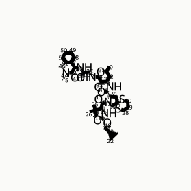 CCCC(NC(=O)[C@@H]1CC2(CN1C(=O)C(NC(=O)OCC1CC1)C(C)(C)C)SCCCS2)C(=O)C(=O)NCC(=O)NC(C(=O)N(C)C)c1ccccc1